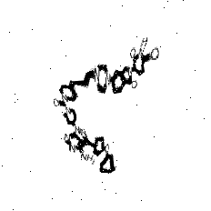 Nc1ncnc2c1c(-c1ccc(Oc3ccccc3)cc1)nn2C1CCN(C(=O)N2CCC(CCCN3CCN(c4ccc5c(c4)CN(C4CCC(=O)NC4=O)C5=O)CC3)CC2)CC1